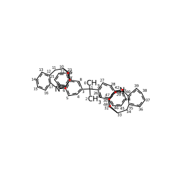 CC(C)(c1ccc2c(c1)CC1Cc3ccccc3N2c2ccccc2C1)c1ccc2c(c1)CC1Cc3ccccc3N2c2ccccc2C1